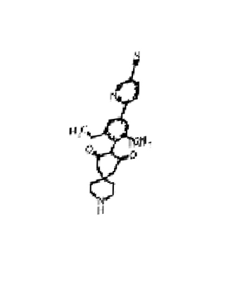 CCc1cc(-c2ccc(C#N)cn2)cc(C)c1C1C(=O)CC2(CCNCC2)CC1=O.Cl